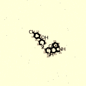 CO[C@]12C[C@@H](CN3CCC(O)(c4ccc(Cl)cc4)CC3)CN(C)[C@@H]1Cc1c[nH]c3cccc2c13